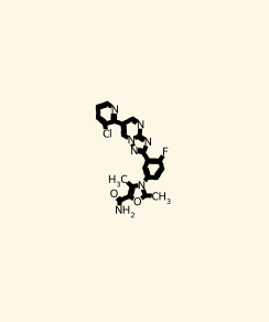 CC1=C(C(N)=O)OC(C)N1c1ccc(F)c(-c2nc3ncc(-c4ncccc4Cl)cn3n2)c1